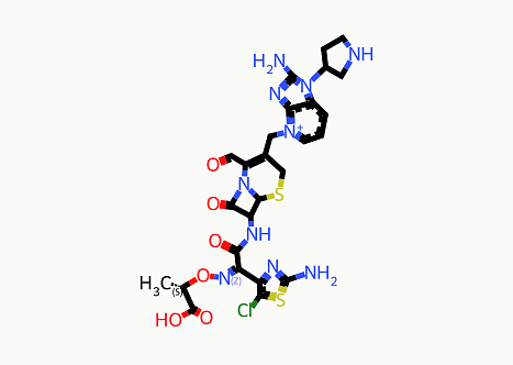 C[C@H](O/N=C(\C(=O)NC1C(=O)N2C(C=O)=C(C[n+]3cccc4c3nc(N)n4C3CCNC3)CSC12)c1nc(N)sc1Cl)C(=O)O